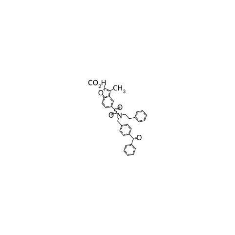 Cc1c(C(=O)O)oc2ccc(S(=O)(=O)N(CCc3ccccc3)Cc3ccc(C(=O)c4ccccc4)cc3)cc12